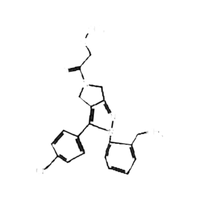 CCc1ccccc1-n1nc2c(c1-c1ccc(Cl)cc1)CN(C(=O)COC)C2